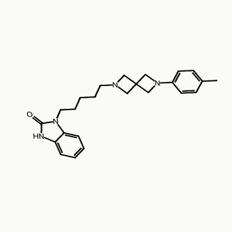 Cc1ccc(N2CC3(CN(CCCCCn4c(=O)[nH]c5ccccc54)C3)C2)cc1